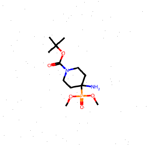 COP(=O)(OC)C1(N)CCN(C(=O)OC(C)(C)C)CC1